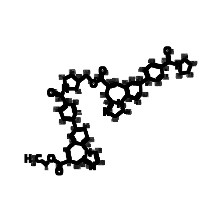 CCOC(=O)C1=Cc2cc(-c3ccc(C(=O)N4CCC(COC(=O)C5=Cc6cc(-c7ccc(C(=O)N8CCCC8)cc7)ccc6N6CCN=C6C5)C4)cc3)ccc2-n2ccnc2C1